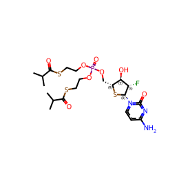 CC(C)C(=O)SCCOP(=O)(OCCSC(=O)C(C)C)OC[C@H]1S[C@@H](n2ccc(N)nc2=O)[C@@H](F)[C@@H]1O